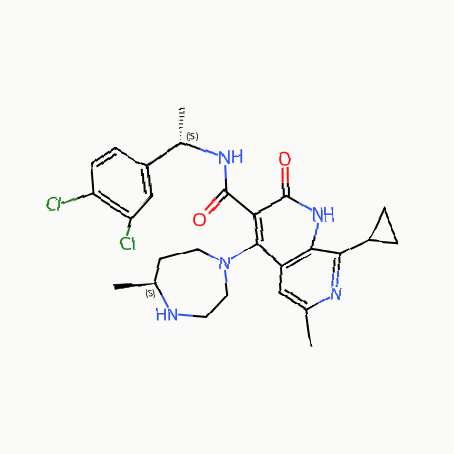 Cc1cc2c(N3CCN[C@@H](C)CC3)c(C(=O)N[C@@H](C)c3ccc(Cl)c(Cl)c3)c(=O)[nH]c2c(C2CC2)n1